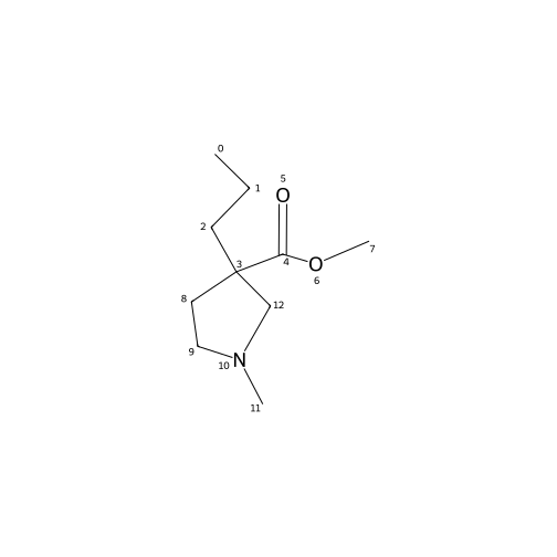 CCCC1(C(=O)OC)CCN(C)C1